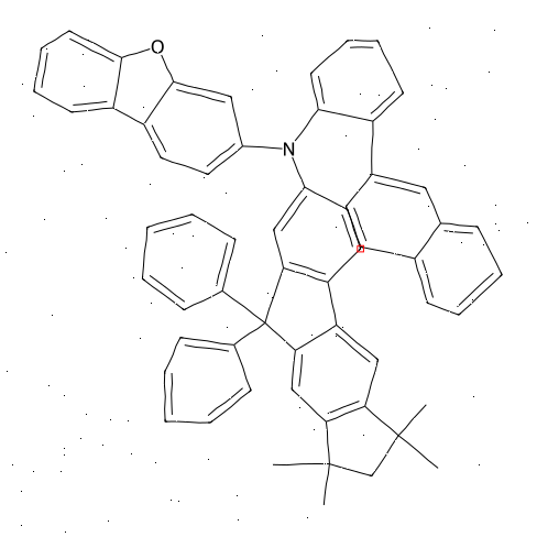 CC1(C)CC(C)(C)c2cc3c(cc21)-c1ccc(N(c2ccc4c(c2)oc2ccccc24)c2ccccc2-c2ccc4ccccc4c2)cc1C3(c1ccccc1)c1ccccc1